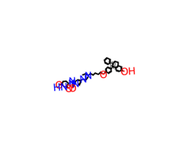 O=C1CCC(n2nc3cc(N4CCN(CCCCCOc5ccc([C@@H]6c7ccc(O)cc7CC[C@@H]6c6ccccc6)cc5)CC4)ccn3c2=O)C(=O)N1